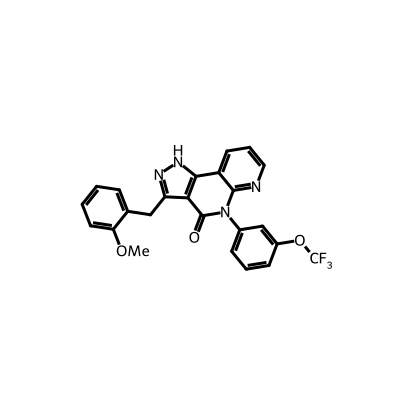 COc1ccccc1Cc1n[nH]c2c1c(=O)n(-c1cccc(OC(F)(F)F)c1)c1ncccc21